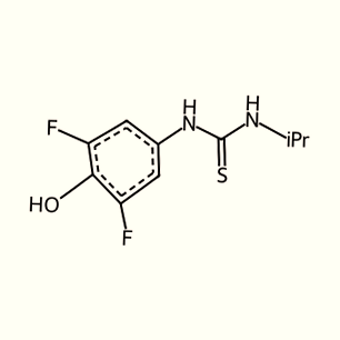 CC(C)NC(=S)Nc1cc(F)c(O)c(F)c1